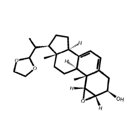 CC(C1OCCO1)[C@H]1CC[C@H]2C3=CC=C4C[C@@H](O)[C@@H]5O[C@@H]5[C@]4(C)[C@H]3CC[C@]12C